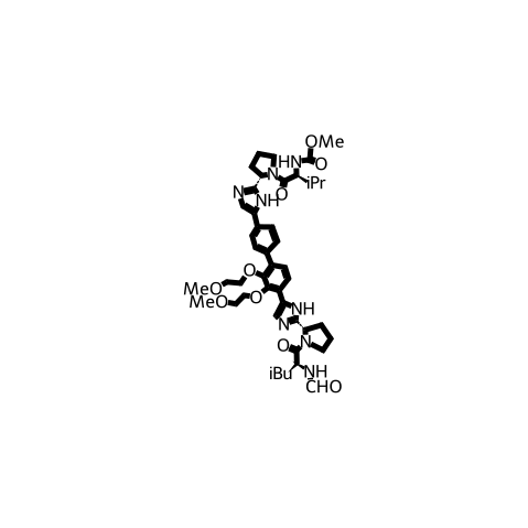 CC[C@H](C)[C@H](NC=O)C(=O)N1CCC[C@H]1c1ncc(-c2ccc(-c3ccc(-c4cnc([C@@H]5CCCN5C(=O)[C@@H](NC(=O)OC)C(C)C)[nH]4)cc3)c(OCCOC)c2OCCOC)[nH]1